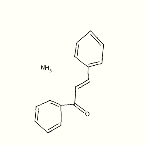 N.O=C(C=Cc1ccccc1)c1ccccc1